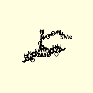 C/C=C1\C[C@H]2C=Nc3cc(OCc4cc(OCCN(CCOCCOCCN(C)CC(C)(C)SC)CCN(C)C)cc(COc5cc6c(cc5OC)C(=O)N5C/C(=C/C)C[C@H]5C=N6)n4)c(OC)cc3C(=O)N2C1